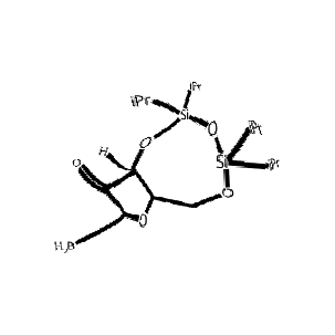 BC1OC2CO[Si](C(C)C)(C(C)C)O[Si](C(C)C)(C(C)C)O[C@H]2C1=O